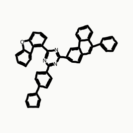 c1ccc(-c2ccc(-c3nc(-c4ccc5cc(-c6ccccc6)c6ccccc6c5c4)nc(-c4cccc5oc6ccccc6c45)n3)cc2)cc1